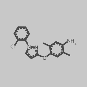 Cc1cc(Oc2ccn(-c3ccccc3Cl)n2)c(C)cc1N